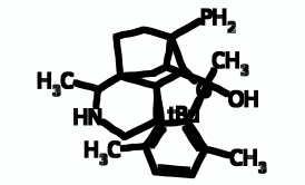 Cc1ccc(C)c2c1OC1C3(P)CCC4(CC3C(C)(O)C(C)(C)C)C(C)NCCC214